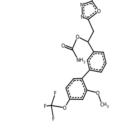 COc1cc(OC(F)(F)F)ccc1-c1cccc(C(Cc2nnc(C)o2)OC(N)=O)c1